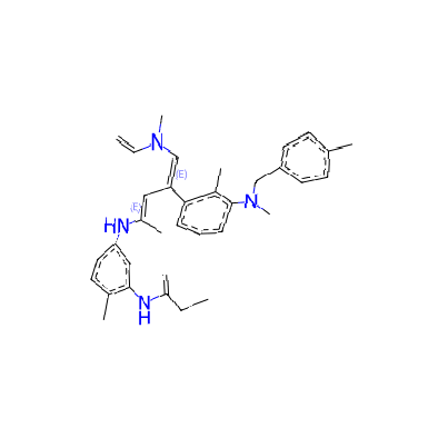 C=CN(C)/C=C(\C=C(/C)Nc1ccc(C)c(NC(=C)CC)c1)c1cccc(N(C)Cc2ccc(C)cc2)c1C